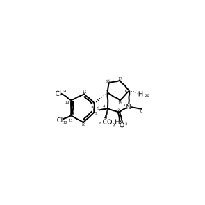 CN1C(=O)[C@@](C)(C(=O)O)[C@@]2(c3ccc(Cl)c(Cl)c3)CC[C@@H]1C2